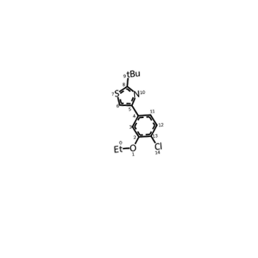 CCOc1cc(-c2csc(C(C)(C)C)n2)ccc1Cl